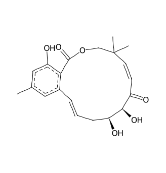 Cc1cc(O)c2c(c1)/C=C/C[C@H](O)[C@H](O)C(=O)/C=C\C(C)(C)COC2=O